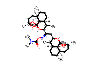 C[C@H]1[C@@H](/C(C[C@H]2O[C@@H]3O[C@]4(C)CC[C@H]5[C@H](C)CC[C@@H]([C@H]2C)[C@@]35OO4)=N\OC(=O)N(C)C)O[C@@H]2O[C@]3(C)CC[C@H]4[C@H](C)CC[C@@H]1[C@@]24OO3